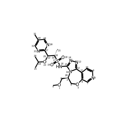 COC[C@@H]1COc2cnccc2-c2nnc(NS(=O)(=O)[C@@H](C)[C@@H](OC(C)C)c3ncc(C)cn3)n21